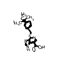 CC(C)(C)c1ccc(CSc2ncc(C(=O)O)c3[nH]cnc23)cc1